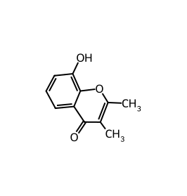 Cc1oc2c(O)cccc2c(=O)c1C